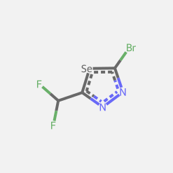 FC(F)c1nnc(Br)[se]1